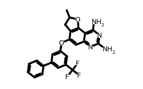 CC1Cc2c(Oc3cc(-c4ccccc4)cc(C(F)(F)F)c3)cc3nc(N)nc(N)c3c2O1